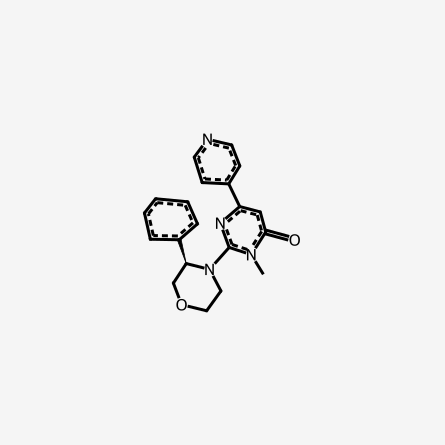 Cn1c(N2CCOC[C@H]2c2ccccc2)nc(-c2ccncc2)cc1=O